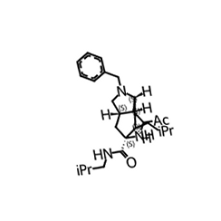 CC(=O)C1N[C@@]2(C(=O)NCC(C)C)C[C@@H]3CN(Cc4ccccc4)[C@@H]([C@H]13)[C@H]2CC(C)C